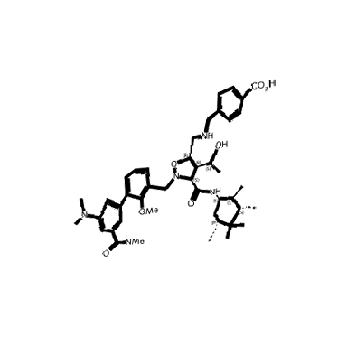 CNC(=O)c1cc(-c2cccc(CN3O[C@@H](CNCc4ccc(C(=O)O)cc4)[C@@H]([C@H](C)O)[C@H]3C(=O)N[C@H]3C[C@@H](C)C(C)(C)[C@@H](C)[C@@H]3C)c2OC)cc(N(C)C)c1